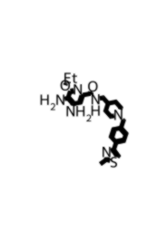 CCOc1nc(C(=O)NCC2CCN(Cc3ccc(-c4csc(C)n4)cc3)CC2)cc(N)c1N